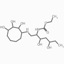 CCOC(=O)NC(CNC1CCCCC(O)C(O)C1O)C(O)CC(O)CC